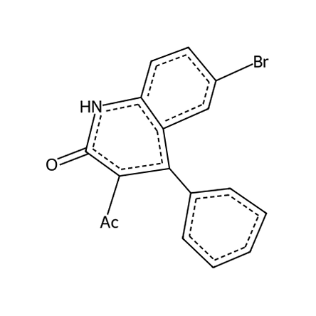 CC(=O)c1c(-c2ccccc2)c2cc(Br)ccc2[nH]c1=O